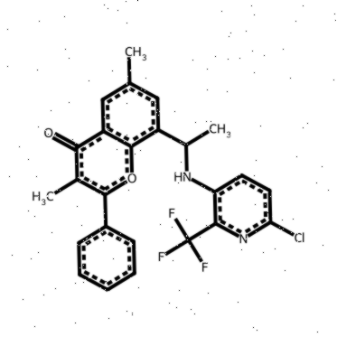 Cc1cc(C(C)Nc2ccc(Cl)nc2C(F)(F)F)c2oc(-c3ccccc3)c(C)c(=O)c2c1